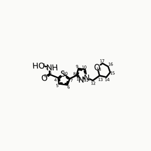 O=C(NO)c1ccc(-c2ccn(CC3CCCCO3)n2)s1